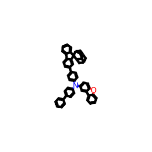 c1ccc(-c2ccc(N(c3ccc(-c4ccc5c(c4)C4(c6ccccc6-5)C5CC6CC(C5)CC4C6)cc3)c3ccc4oc5ccccc5c4c3)cc2)cc1